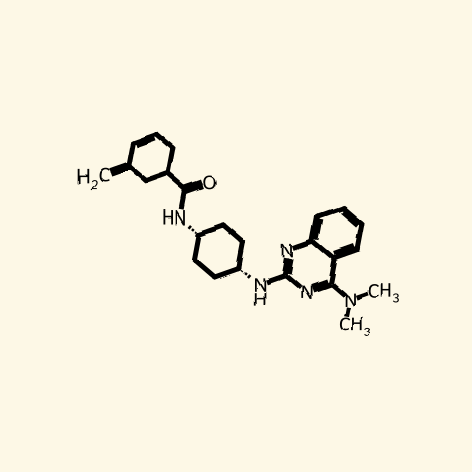 C=C1C=CCC(C(=O)N[C@H]2CC[C@@H](Nc3nc(N(C)C)c4ccccc4n3)CC2)C1